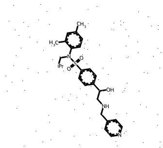 Cc1ccc(N(CC(C)C)S(=O)(=O)c2ccc(C(O)CNCc3ccncc3)cc2)c(C)c1